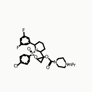 CCCN1CCN(C(=O)OC2(C3CCCC(c4cc(F)cc(F)c4)N3S(=O)(=O)c3ccc(Cl)cc3)CC2)CC1